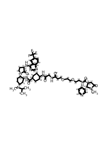 CC(C)N(C)[C@@H]1CC[C@H](N2CC[C@H](Nc3ncnc4ccc(C(F)(F)F)cc34)C2=O)[C@H](NC(=O)C2CCC(NC(=O)CNC(=O)CCOCCOCCNC(=O)[C@H]3CC(=O)N(C)[C@@H]3c3cccnc3)CC2)C1